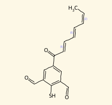 C\C=C/C=C/C=C/C(=O)c1cc(C=O)c(S)c(C=O)c1